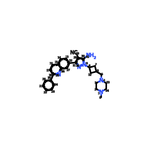 CN1CCN(CC2CC(n3nc(-c4ccc5ccc(-c6ccccc6)nc5c4)c(C#N)c3N)C2)CC1